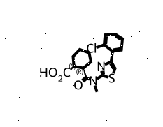 CN(C(=O)[C@@H]1CCCC[C@@H]1C(=O)O)c1nc(-c2ccccc2Cl)cs1